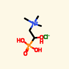 C[N+](C)(C)CC(O)P(=O)(O)O.[Cl-]